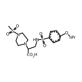 CCCOc1ccc(S(=O)(=O)NCC(C(=O)O)N2CCN(S(C)(=O)=O)CC2)cc1